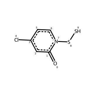 O=c1cc(Cl)ccn1SS